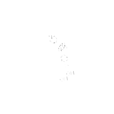 CCc1cc(-c2nc(-c3cc(C)nc(CC(C)C)c3)no2)cc(C)c1OC[C@H](O)CO